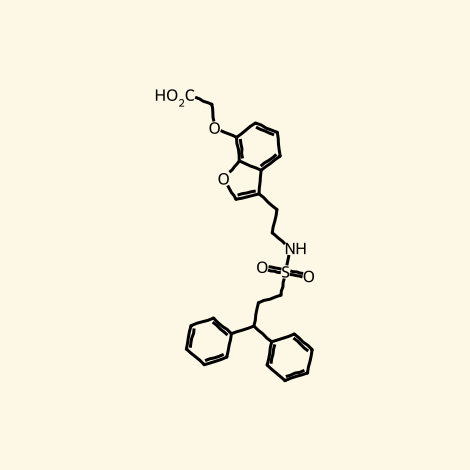 O=C(O)COc1cccc2c(CCNS(=O)(=O)CCC(c3ccccc3)c3ccccc3)coc12